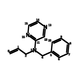 C=CCN(Cc1ccccc1)c1cnccn1